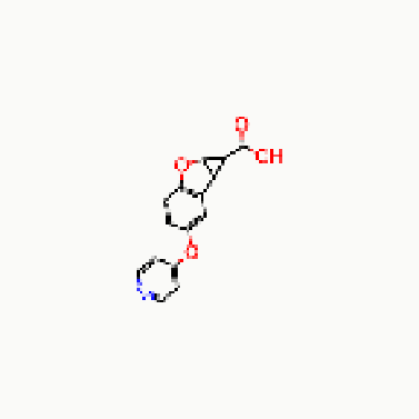 O=C(O)C1C2Oc3ccc(Oc4ccncc4)cc3C21